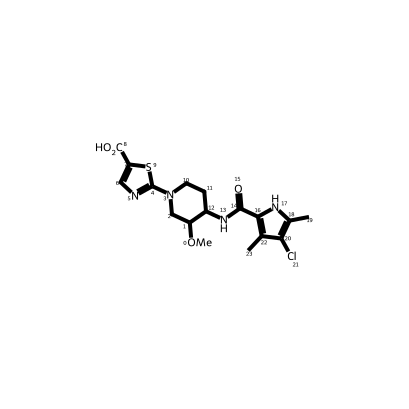 COC1CN(c2ncc(C(=O)O)s2)CCC1NC(=O)c1[nH]c(C)c(Cl)c1C